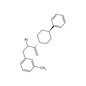 CC(=O)C(Cc1cccc(C)c1)C(=O)[C@H]1CC[C@H](c2ccccc2)CC1